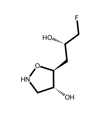 O[C@H](CF)C[C@@H]1ONC[C@H]1O